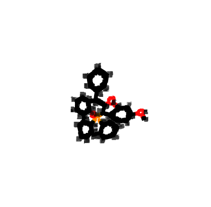 COc1ccc2c(c1)OC(=C(c1ccccc1)c1ccccc1)C2P(=O)(c1ccccc1C)c1ccccc1C